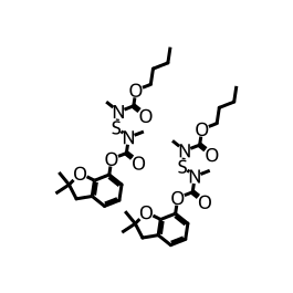 CCCCOC(=O)N(C)SN(C)C(=O)Oc1cccc2c1OC(C)(C)C2.CCCCOC(=O)N(C)SN(C)C(=O)Oc1cccc2c1OC(C)(C)C2